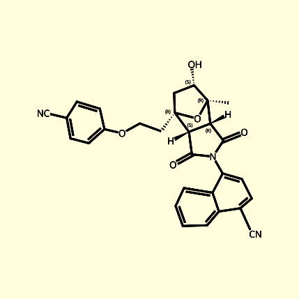 C[C@]12O[C@](CCOc3ccc(C#N)cc3)(C[C@@H]1O)[C@H]1C(=O)N(c3ccc(C#N)c4ccccc34)C(=O)[C@H]12